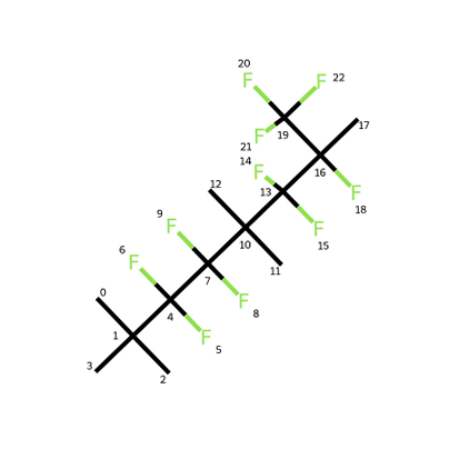 CC(C)(C)C(F)(F)C(F)(F)C(C)(C)C(F)(F)C(C)(F)C(F)(F)F